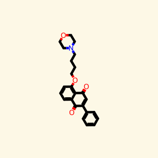 O=C1C(c2ccccc2)=CC(=O)c2c(OCCCCN3CCOCC3)cccc21